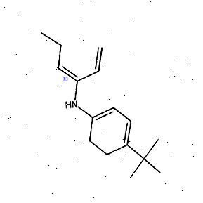 C=C/C(=C\CC)NC1=CC=C(C(C)(C)C)CC1